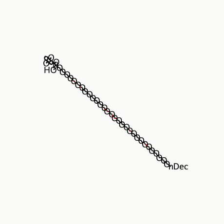 CCCCCCCCCCCCOCCOCCOCCOCCOCCOCCOCCOCCOCCOCCOCCOCCOCCOCCOCCOCCOCCOCCOCCOCCOCCOCCOCCOCCOCCOCCOCCOCCOCCOCCN(CCO)C(=O)c1ccc2c(c1)C(=O)c1ccccc1C2=O